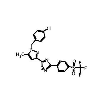 Cc1cc(-c2nc(-c3ccc(S(=O)(=O)C(F)(F)F)cc3)no2)nn1Cc1ccc(Cl)cc1